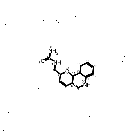 NC(=O)NCC1C=CC2CNC3=CC=CCC3C2O1